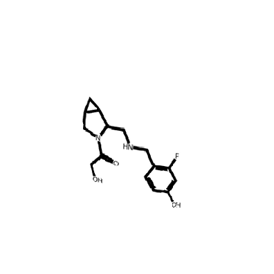 O=C(CO)N1CC2CC2C1CNCc1ccc(O)cc1F